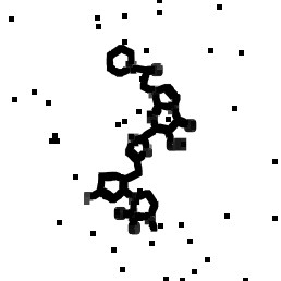 CN1CCN(c2cc(F)ccc2Cc2cnc(-c3nc4n(CC(=O)N5CCCCC5)ccn4c(=O)c3O)s2)S1(=O)=O